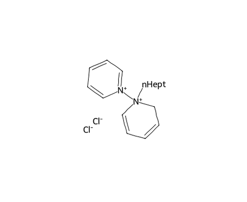 CCCCCCC[N+]1([n+]2ccccc2)C=CC=CC1.[Cl-].[Cl-]